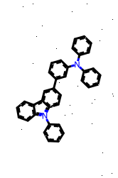 c1ccc(N(c2ccccc2)c2cccc(-c3ccc4c(c3)c3ccccc3n4-c3ccccc3)c2)cc1